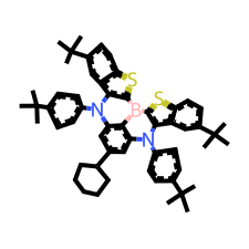 CC(C)(C)c1ccc(N2c3cc(C4CCCCC4)cc4c3B(c3sc5ccc(C(C)(C)C)cc5c32)c2sc3ccc(C(C)(C)C)cc3c2N4c2ccc(C(C)(C)C)cc2)cc1